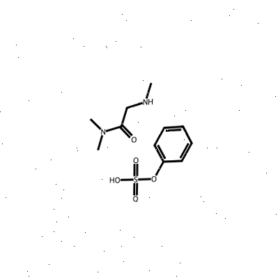 CNCC(=O)N(C)C.O=S(=O)(O)Oc1ccccc1